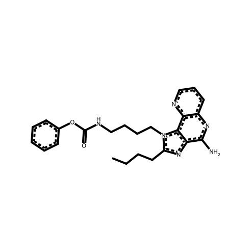 CCCCc1nc2c(N)nc3cccnc3c2n1CCCCNC(=O)Oc1ccccc1